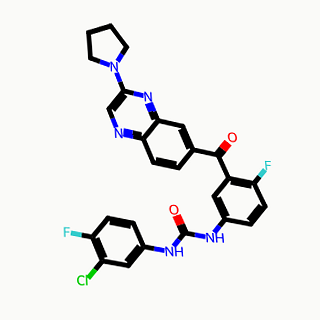 O=C(Nc1ccc(F)c(Cl)c1)Nc1ccc(F)c(C(=O)c2ccc3ncc(N4CCCC4)nc3c2)c1